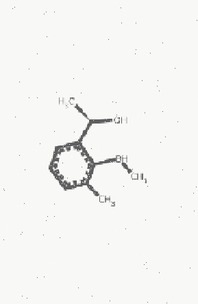 CBc1c(C)cccc1[C@@H](C)O